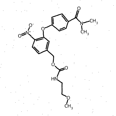 COCCNC(=O)OCc1ccc([N+](=O)[O-])c(Oc2ccc(C(=O)N(C)C)cc2)c1